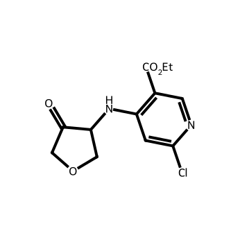 CCOC(=O)c1cnc(Cl)cc1NC1COCC1=O